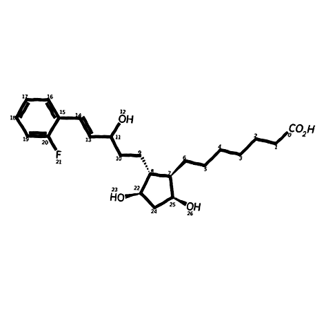 O=C(O)CCCCCC[C@@H]1[C@@H](CCC(O)/C=C/c2ccccc2F)[C@H](O)C[C@@H]1O